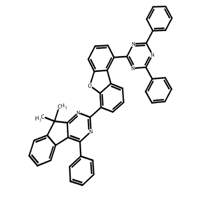 CC1(C)c2ccccc2-c2c(-c3ccccc3)nc(-c3cccc4c3oc3cccc(-c5nc(-c6ccccc6)nc(-c6ccccc6)n5)c34)nc21